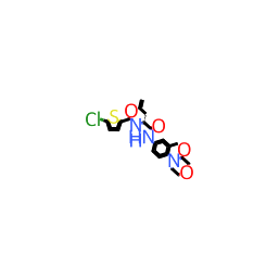 C=CC[C@@H](NC(=O)c1ccc(Cl)s1)C(=O)Nc1ccc(N2CCOCC2=O)c(C)c1